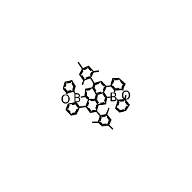 Cc1cc(C)c(-c2cc3c4c(cc5c(-c6c(C)cc(C)cc6C)cc6c7c(cc2c4c57)B2c4ccccc4Oc4cccc-6c42)B2c4ccccc4Oc4cccc-3c42)c(C)c1